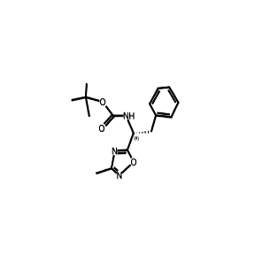 Cc1noc([C@@H](Cc2ccccc2)NC(=O)OC(C)(C)C)n1